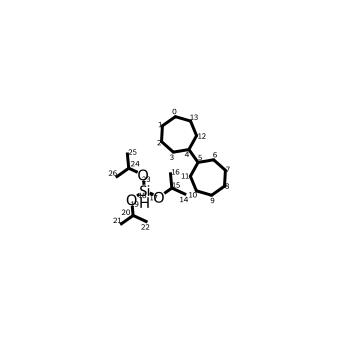 C1CCCC(C2CCCCCC2)CC1.CC(C)O[SiH](OC(C)C)OC(C)C